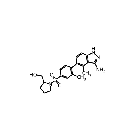 Cc1cc(S(=O)(=O)N2CCCC2CO)ccc1-c1ccc2[nH]nc(N)c2c1C